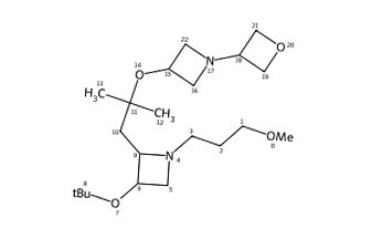 COCCCN1CC(OC(C)(C)C)C1CC(C)(C)OC1CN(C2COC2)C1